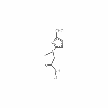 CCNC(=O)CN(C)c1ccc(C=O)o1